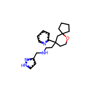 c1ccc(C2(CCNCc3cc[nH]n3)CCOC3(CCCC3)C2)nc1